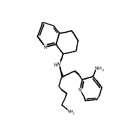 NCCCC(Cc1ncccc1N)NC1CCCc2cccnc21